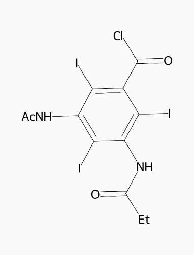 CCC(=O)Nc1c(I)c(NC(C)=O)c(I)c(C(=O)Cl)c1I